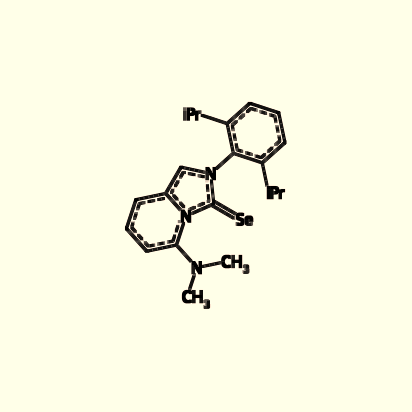 CC(C)c1cccc(C(C)C)c1-n1cc2cccc(N(C)C)n2c1=[Se]